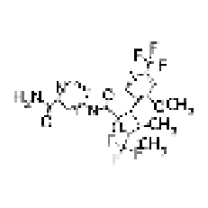 COc1cc(C(F)(F)F)ncc1[C@H]1[C@@H](C)[C@@](C)(C(F)(F)F)O[C@H]1C(=O)Nc1ccnc(C(N)=O)c1